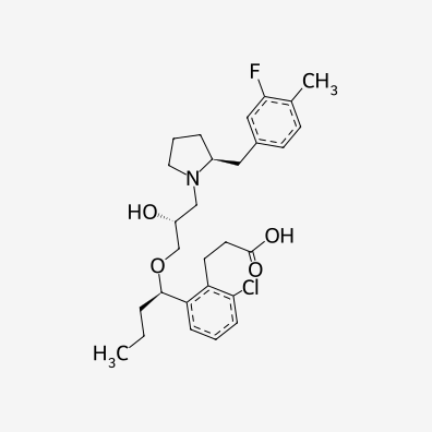 CCC[C@@H](OC[C@H](O)CN1CCC[C@H]1Cc1ccc(C)c(F)c1)c1cccc(Cl)c1CCC(=O)O